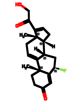 C[C@]12CCC(=O)C=C1[C@@H](F)C[C@@H]1C2=CC[C@]2(C)C(C(=O)CO)=CC[C@@H]12